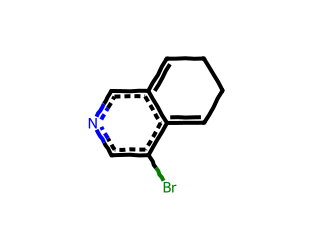 Brc1cncc2c1=CCCC=2